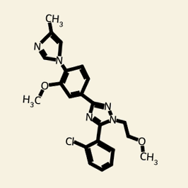 COCCn1nc(-c2ccc(-n3cnc(C)c3)c(OC)c2)nc1-c1ccccc1Cl